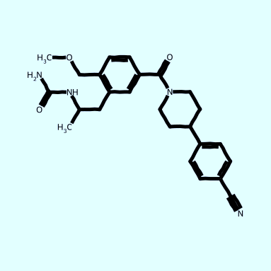 COCc1ccc(C(=O)N2CCC(c3ccc(C#N)cc3)CC2)cc1CC(C)NC(N)=O